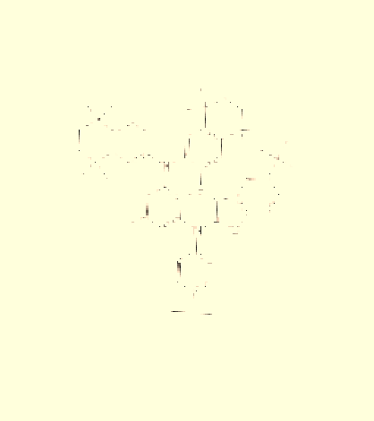 Cc1cc2c3c(c1)N(c1ccc(C(C)(C)C)cc1)c1oc4ccc(C(C)(C)C)cc4c1B3c1cc3c(cc1N2c1ccc2c(c1)C(C)(C)CCC2(C)C)C(C)(C)CCC3(C)C